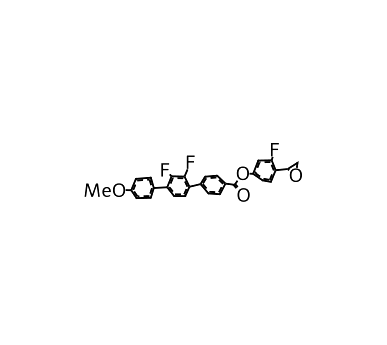 COc1ccc(-c2ccc(-c3ccc(C(=O)Oc4ccc(C5CO5)c(F)c4)cc3)c(F)c2F)cc1